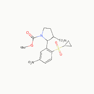 CCOC(=O)C1CCN(C(=O)OC(C)(C)C)C1c1cc([N+](=O)[O-])ccc1S(=O)(=O)C1CC1